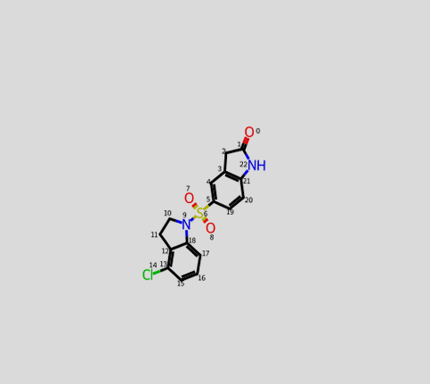 O=C1Cc2cc(S(=O)(=O)N3CCc4c(Cl)cccc43)ccc2N1